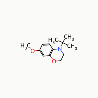 COc1ccc2c(c1)OCCN2C(C)(C)C